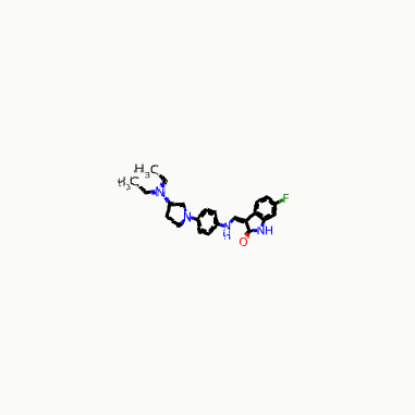 CCN(CC)C1CCN(c2ccc(NC=C3C(=O)Nc4cc(F)ccc43)cc2)C1